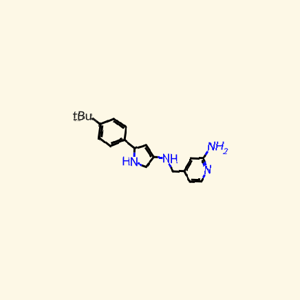 CC(C)(C)c1ccc(C2C=C(NCc3ccnc(N)c3)CN2)cc1